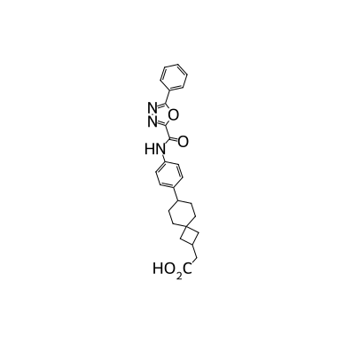 O=C(O)CC1CC2(CCC(c3ccc(NC(=O)c4nnc(-c5ccccc5)o4)cc3)CC2)C1